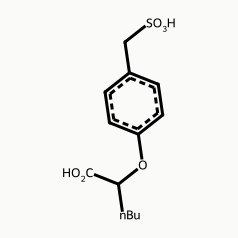 CCCCC(Oc1ccc(CS(=O)(=O)O)cc1)C(=O)O